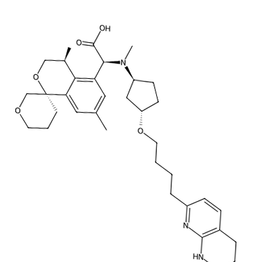 Cc1cc([C@@H](C(=O)O)N(C)[C@H]2CC[C@H](OCCCCc3ccc4c(n3)NCCC4)C2)c2c(c1)[C@]1(CCCOC1)OC[C@H]2C